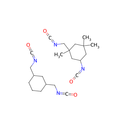 CC1(C)CC(N=C=O)CC(C)(CN=C=O)C1.O=C=NCC1CCCC(CN=C=O)C1